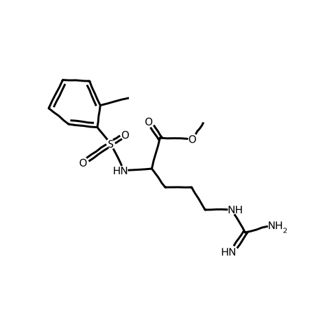 COC(=O)C(CCCNC(=N)N)NS(=O)(=O)c1ccccc1C